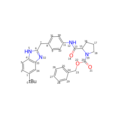 CC(C)(C)c1ccc2[nH]c(Cc3ccc(NC(=O)C4CCCN4C(=O)OCc4ccccc4)cc3)nc2c1